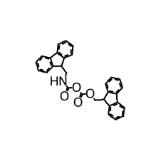 O=C(NCC1c2ccccc2-c2ccccc21)OC(=O)OCC1c2ccccc2-c2ccccc21